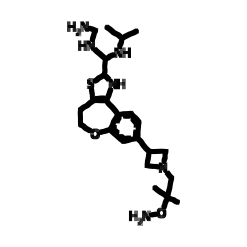 CC(C)NC(NCN)C1NC2=C(CCOc3cc(C4CN(CC(C)(C)ON)C4)ccc32)S1